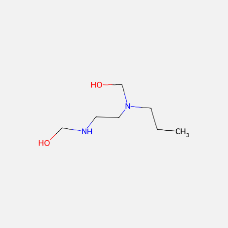 CCCN(CO)CCNCO